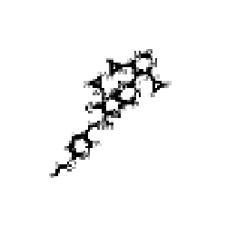 CCSc1ccc(CNc2nc3cnc(-c4c(C5CC5)ncnc4C4CC4)nc3n(C3CC3)c2=O)cn1